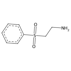 NCCS(=O)(=O)c1ccccc1